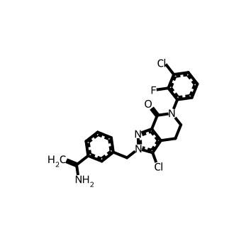 C=C(N)c1cccc(Cn2nc3c(c2Cl)CCN(c2cccc(Cl)c2F)C3=O)c1